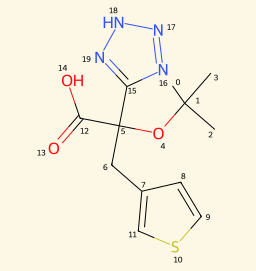 CC(C)(C)OC(Cc1ccsc1)(C(=O)O)c1nn[nH]n1